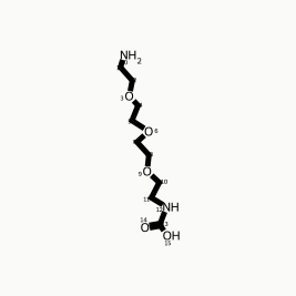 NCCOCCOCCOCCNC(=O)O